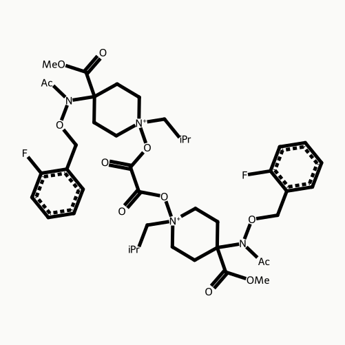 COC(=O)C1(N(OCc2ccccc2F)C(C)=O)CC[N+](CC(C)C)(OC(=O)C(=O)O[N+]2(CC(C)C)CCC(C(=O)OC)(N(OCc3ccccc3F)C(C)=O)CC2)CC1